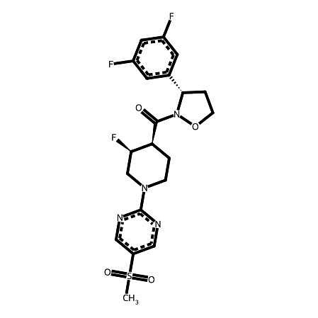 CS(=O)(=O)c1cnc(N2CC[C@H](C(=O)N3OCC[C@H]3c3cc(F)cc(F)c3)[C@H](F)C2)nc1